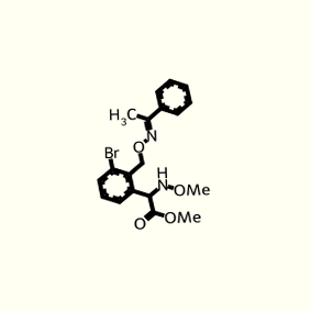 CONC(C(=O)OC)c1cccc(Br)c1CO/N=C(\C)c1ccccc1